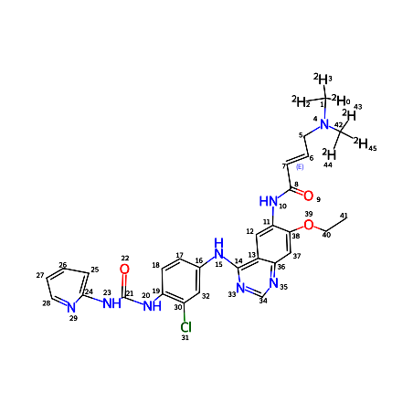 [2H]C([2H])([2H])N(C/C=C/C(=O)Nc1cc2c(Nc3ccc(NC(=O)Nc4ccccn4)c(Cl)c3)ncnc2cc1OCC)C([2H])([2H])[2H]